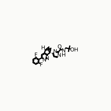 CC(C)(O)CNC(=O)c1nccc([C@]23CC[C@@H](c4cc(-c5c(F)cccc5F)nnc42)C3(C)C)n1